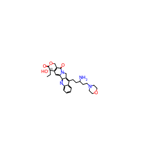 CC[C@@]1(O)C(=O)OCc2c1cc1n(c2=O)Cc2c-1nc1ccccc1c2CCC(N)CCN1CCOCC1